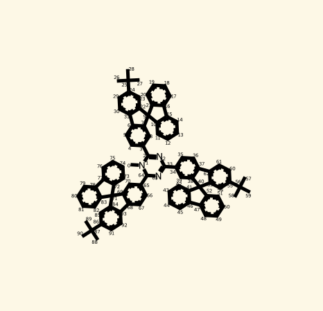 CN1C(c2ccc3c(c2)C2(c4ccccc4-c4ccccc42)c2cc(C(C)(C)C)ccc2-3)=NC(c2ccc3c(c2)C2(c4ccccc4-c4ccccc42)c2cc(C(C)(C)C)ccc2-3)=NC1c1ccc2c(c1)C1(c3ccccc3-c3ccccc31)c1cc(C(C)(C)C)ccc1-2